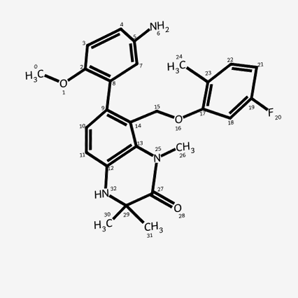 COc1ccc(N)cc1-c1ccc2c(c1COc1cc(F)ccc1C)N(C)C(=O)C(C)(C)N2